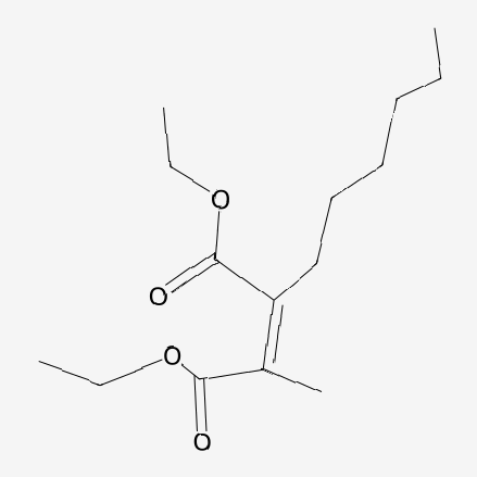 CCCCCC/C(C(=O)OCC)=C(\C)C(=O)OCC